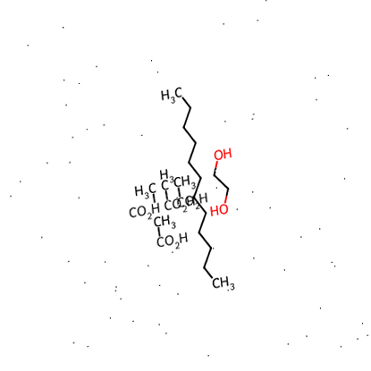 CC(=O)O.CC(=O)O.CC(=O)O.CC(=O)O.CCCCCCCCCCCC.OCCO